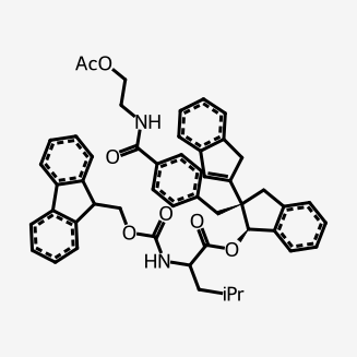 CC(=O)OCCNC(=O)c1ccc(C[C@@]2(C3=Cc4ccccc4C3)Cc3ccccc3[C@H]2OC(=O)C(CC(C)C)NC(=O)OCC2c3ccccc3-c3ccccc32)cc1